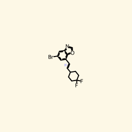 FC1(F)CCC(/C=C/c2cc(Br)cc3ncoc23)CC1